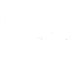 CCC(F)(F)CNCCCO